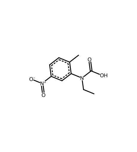 CCN(C(=O)O)c1cc([N+](=O)[O-])ccc1C